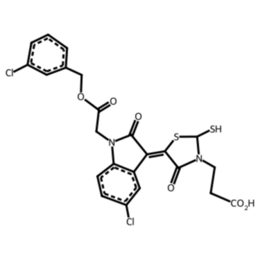 O=C(O)CCN1C(=O)/C(=C2/C(=O)N(CC(=O)OCc3cccc(Cl)c3)c3ccc(Cl)cc32)SC1S